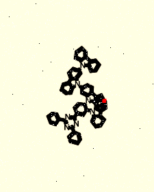 C1=CC(n2c3ccccc3c3ccc(-n4c5ccccc5c5ccc(-n6c7ccccc7c7ccccc76)cc54)cc32)C(n2c3ccccc3c3ccccc32)C=C1c1nc(-c2ccccc2)nc(-c2ccccc2)n1